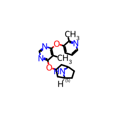 Cc1ncccc1Oc1ncnc(OC2CC3CC[C@@H](C2)N3)c1C